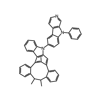 Cc1c2cc3c(c1-c1ccccc1C(C)C(C)c1ccccc1-2)c1ccccc1n3-c1ccc2c(c1)c1ccncc1n2-c1ccccc1